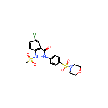 CS(=O)(=O)Nc1ccc(Cl)cc1C(=O)Nc1ccc(S(=O)(=O)N2CCOCC2)cc1